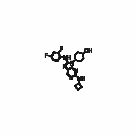 O[C@H]1CC[C@@H](n2c(Nc3ccc(F)cc3F)nc3cnc(NC4CCC4)nc32)CC1